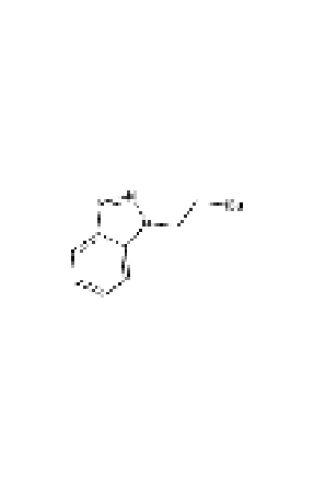 CCC(C)CCn1nnc2ccccc21